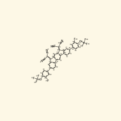 N#CC(C#N)=C1c2cc(-c3ccc(OC(F)(F)F)c(F)c3)ccc2-c2cc3c(cc21)C(=C(C#N)C#N)c1cc(-c2ccc(OC(F)(F)F)c(F)c2)ccc1-3